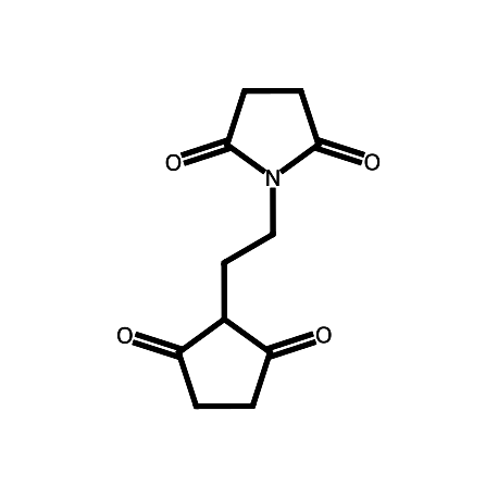 O=C1CCC(=O)C1CCN1C(=O)CCC1=O